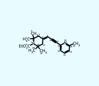 CCOC(=O)N1C(C)(C)CC(=CC#Cc2cccc(C)n2)CC1(C)C